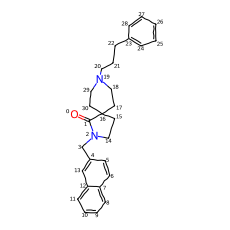 O=C1N(Cc2ccc3ccccc3c2)CCC12CCN(CCCc1ccccc1)CC2